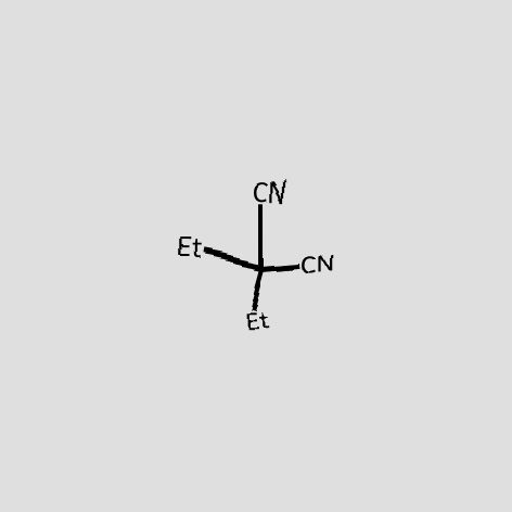 CCC(C#N)(C#N)CC